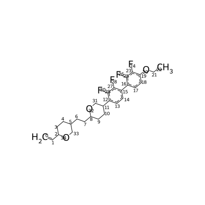 C=CC1CCC(CCC2CCC(c3ccc(-c4ccc(OCC)c(F)c4F)c(F)c3F)CO2)CO1